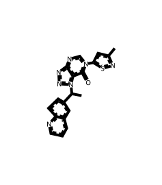 Cc1cc(-n2cnc3nnn(C(C)c4ccc5ncccc5c4)c3c2=O)sn1